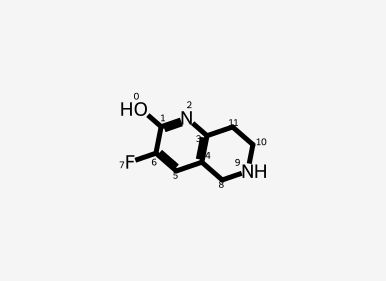 Oc1nc2c(cc1F)CNCC2